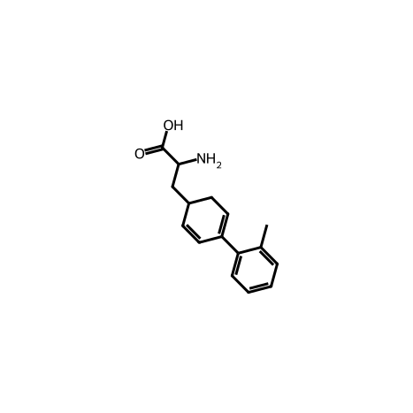 Cc1ccccc1C1=CCC(CC(N)C(=O)O)C=C1